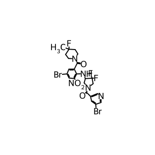 CC1(F)CCN(C(=O)c2cc(Br)cc([N+](=O)[O-])c2NC2CN(C(=O)c3cncc(Br)c3)CC2(F)F)CC1